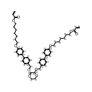 C=CC(=O)OCCCCCCCOc1ccc(-c2ccc(CO[C@H]3OCCO[C@@H]3OCc3ccc(-c4ccc(OCCCCCCCOC(=O)C=C)cc4)cc3)cc2)cc1